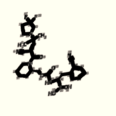 CC(C)(C=C(C#N)C(=O)N1CCCC[C@@H]1COC(=O)N[C@@H](Cc1ccccc1C#N)B(O)O)N1CCC(F)(F)C1